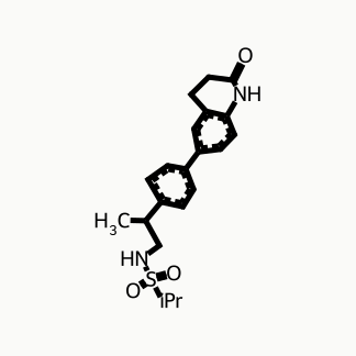 CC(CNS(=O)(=O)C(C)C)c1ccc(-c2ccc3c(c2)CCC(=O)N3)cc1